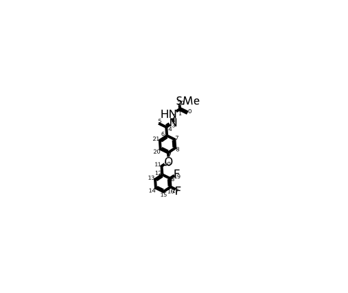 C=C(N/N=C(\C)c1ccc(OCc2cccc(F)c2F)cc1)SC